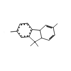 Cc1ccc2c(c1)C(F)(F)C1C=CC(C(=O)O)=CC21